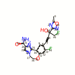 Cc1nc([C@](O)(C#Cc2cc3c(cc2F)OCCn2cc(C(N)=O)nc2-3)CF)no1